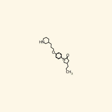 CCCC1CC(=O)N(c2ccc(OCCCC3CCCNC3)cc2)C1